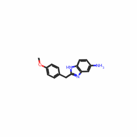 COc1ccc(Cc2nc3cc(N)ccc3[nH]2)cc1